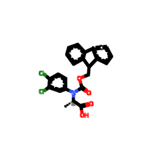 C[C@@H](C(=O)O)N(C(=O)OCC1c2ccccc2-c2ccccc21)c1ccc(Cl)c(Cl)c1